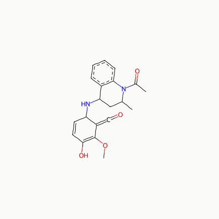 COC1=C(O)C=CC(NC2CC(C)N(C(C)=O)c3ccccc32)C1=C=O